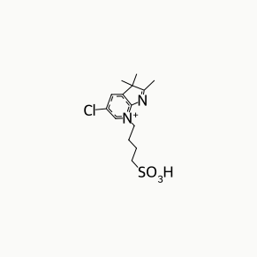 CC1=Nc2c(cc(Cl)c[n+]2CCCCS(=O)(=O)O)C1(C)C